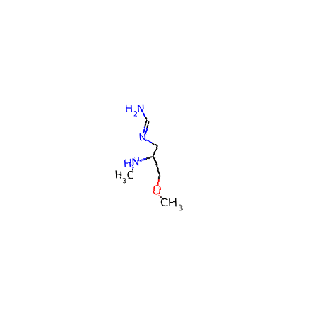 CNC(C/N=C/N)COC